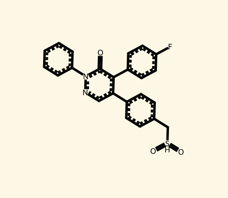 O=c1c(-c2ccc(F)cc2)c(-c2ccc(C[SH](=O)=O)cc2)cnn1-c1ccccc1